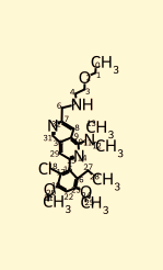 CCOCCNCc1cc2c(N(C)C)nc(-c3c(Cl)c(OC)cc(OC)c3CC)cc2cn1